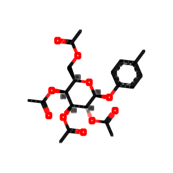 CC(=O)OC[C@H]1O[C@@H](Oc2ccc(C)cc2)[C@H](OC(C)=O)[C@@H](OC(C)=O)[C@H]1OC(C)=O